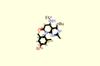 CCCCc1nc(C)nc2c1C(NCC)CC(=O)N2c1c(C)cc(Br)cc1C